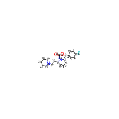 CC(C)CC1C(c2ccc(F)cc2)OC(=O)N1CCCN1CCCCC1